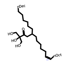 CCCCCCCC/C=C\CCCCCC(CCCCCCCCCCCCCCCC)CC(=O)C(O)(CO)CO